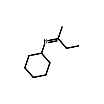 CCC(C)=NC1CCCCC1